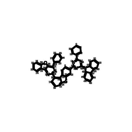 c1ccc(-c2nc(-c3ccc4c(c3)sc3cccc(-c5nc(-c6ccccc6)c6oc7ccccc7c6n5)c34)nc(-n3c4ccccc4c4ccccc43)n2)cc1